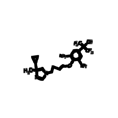 CCCc1cc(C(O)(C(F)(F)F)C(F)(F)F)cc(CCC)c1OCCCCN1C=NC(C)(C2CC2)C1